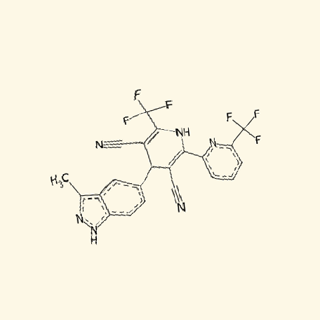 Cc1n[nH]c2ccc(C3C(C#N)=C(c4cccc(C(F)(F)F)n4)NC(C(F)(F)F)=C3C#N)cc12